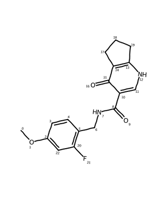 COc1ccc(CNC(=O)c2c[nH]c3c(c2=O)CCC3)c(F)c1